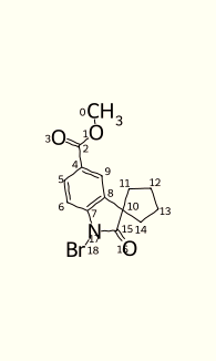 COC(=O)c1ccc2c(c1)C1(CCCC1)C(=O)N2Br